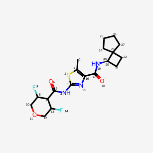 Cc1sc(NC(=O)C2C(F)COCC2F)nc1C(=O)N[C@@H]1CCC12CCCC2